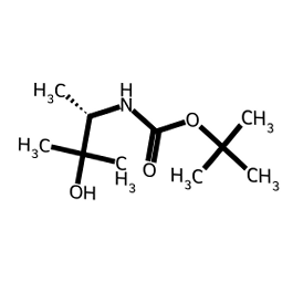 C[C@H](NC(=O)OC(C)(C)C)C(C)(C)O